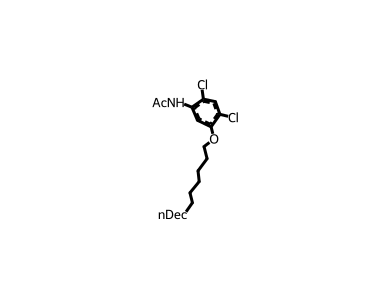 CCCCCCCCCCCCCCCCOc1cc(NC(C)=O)c(Cl)cc1Cl